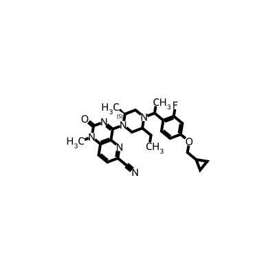 CCC1CN(c2nc(=O)n(C)c3ccc(C#N)nc23)[C@@H](C)CN1C(C)c1ccc(OCC2CC2)cc1F